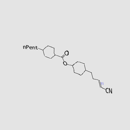 CCCCCC1CCC(C(=O)OC2CCC(CC/C=C/C#N)CC2)CC1